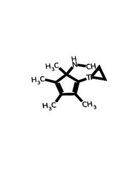 CNC1(C)C(C)=C(C)C(C)=[C]1[Ti]1[CH2][CH2]1